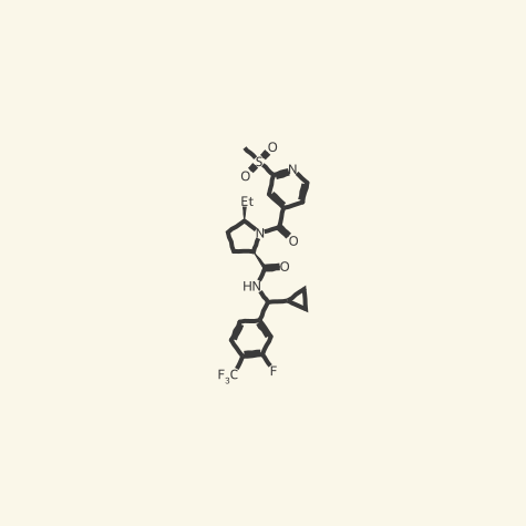 CC[C@@H]1CC[C@H](C(=O)NC(c2ccc(C(F)(F)F)c(F)c2)C2CC2)N1C(=O)c1ccnc(S(C)(=O)=O)c1